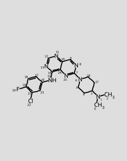 CN(C)C1CCN(c2ncc3ncnc(Nc4ccc(F)c(Cl)c4)c3n2)CC1